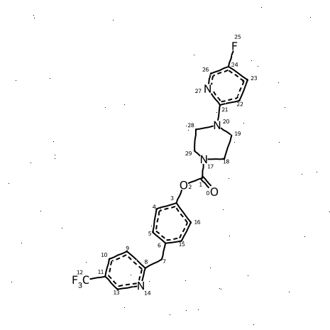 O=C(Oc1ccc(Cc2ccc(C(F)(F)F)cn2)cc1)N1CCN(c2ccc(F)cn2)CC1